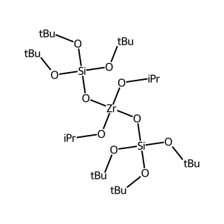 CC(C)[O][Zr]([O]C(C)C)([O][Si](OC(C)(C)C)(OC(C)(C)C)OC(C)(C)C)[O][Si](OC(C)(C)C)(OC(C)(C)C)OC(C)(C)C